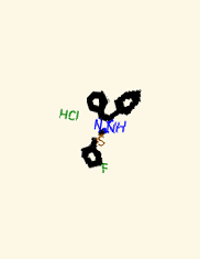 Cl.Fc1cccc(CSC2=NC(c3ccccc3)C(c3ccccc3)N2)c1